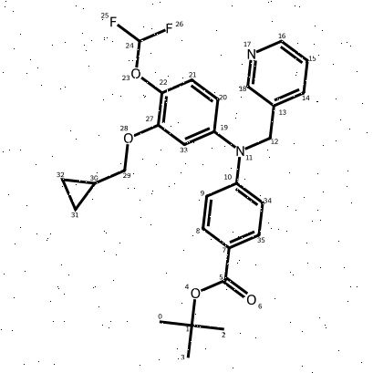 CC(C)(C)OC(=O)c1ccc(N(Cc2cccnc2)c2ccc(OC(F)F)c(OCC3CC3)c2)cc1